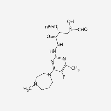 CCCCC[C@H](CN(O)C=O)C(=O)NNc1nc(C)c(F)c(N2CCCN(C)CC2)n1